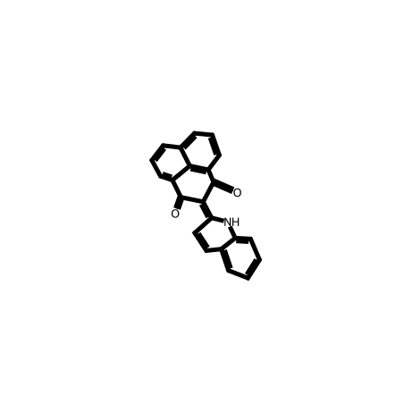 O=c1c(=C2C=Cc3ccccc3N2)c(=O)c2cccc3cccc1c32